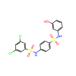 O=S(=O)(Nc1cccc(O)c1)c1ccc(NS(=O)(=O)c2cc(Cl)cc(Cl)c2)cc1